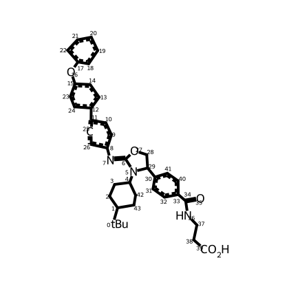 CC(C)(C)C1CCC(N2C(=Nc3ccc(-c4ccc(Oc5ccccc5)cc4)cc3)OCC2c2ccc(C(=O)NCCC(=O)O)cc2)CC1